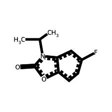 CC(C)n1c(=O)oc2ccc(F)cc21